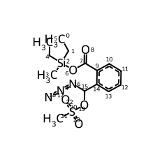 CC[Si](C)(CC)OC(=O)c1ccccc1C(N=[N+]=[N-])OS(C)(=O)=O